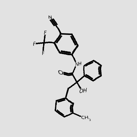 Cc1cccc(CC(O)(C(=O)Nc2ccc(C#N)c(C(F)(F)F)c2)c2ccccc2)c1